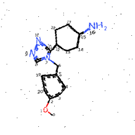 COc1ccc(Cn2cnnc2C2CCC(N)CC2)cc1